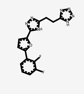 Fc1cccc(-c2ccc(-c3nnc(CCc4nnn[nH]4)[nH]3)o2)c1F